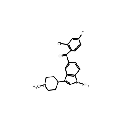 CN1CCC(c2cn(N)c3ccc(C(=O)c4ccc(F)cc4Cl)cc23)CC1